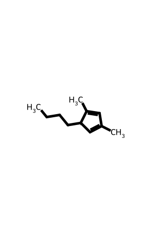 CCCC[C]1C=C(C)C=C1C